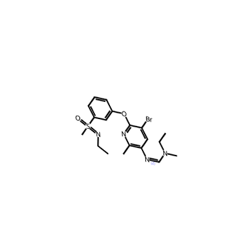 CCN=S(C)(=O)c1cccc(Oc2nc(C)c(/N=C\N(C)CC)cc2Br)c1